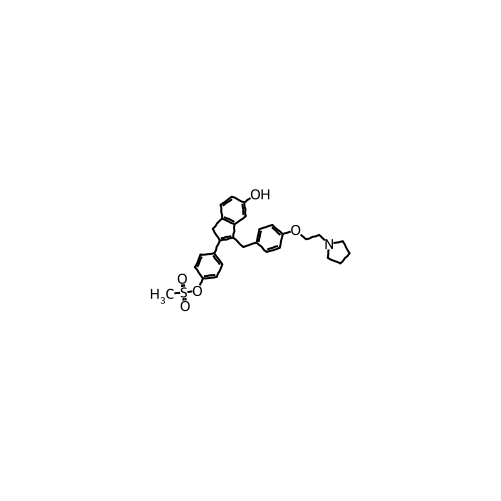 CS(=O)(=O)Oc1ccc(C2=C(Cc3ccc(OCCN4CCCC4)cc3)c3cc(O)ccc3C2)cc1